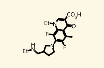 CCNCC1CCN(c2c(F)c(C)c3c(=O)c(C(=O)O)cn(CC)c3c2F)C1